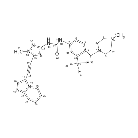 CN1CCN(Cc2ccc(NC(=O)Nc3cc(C#Cc4cnc5ccccn45)n(C)n3)cc2C(F)(F)F)CC1